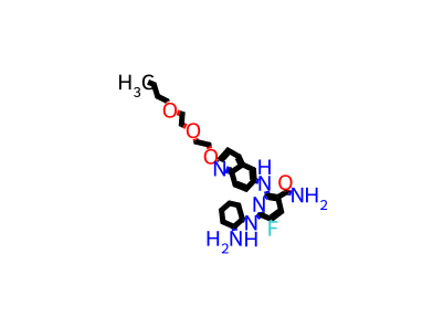 CCCCOCCOCCOc1ccc2cc(Nc3nc(NC4CCCCC4N)c(F)cc3C(N)=O)ccc2n1